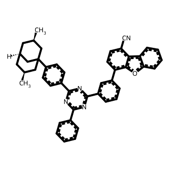 C[C@@H]1C[C@@H]2C[C@H](C)CC(c3ccc(-c4nc(-c5ccccc5)nc(-c5cccc(-c6ccc(C#N)c7c6oc6ccccc67)c5)n4)cc3)(C1)C2